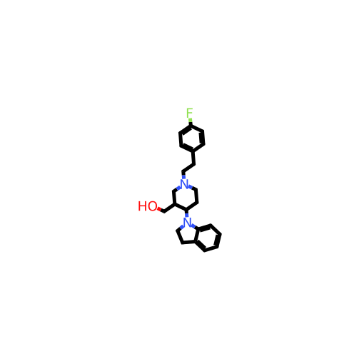 OCC1CN(CCc2ccc(F)cc2)CCC1N1CCc2ccccc21